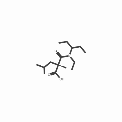 CCC(CC)N(CC)C(=O)[C@@](C)(CC(C)C)C(=O)O